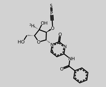 [2H][C@@]1(O)[C@@H](CO)O[C@@H](n2ccc(NC(=O)c3ccccc3)nc2=O)[C@@H]1OC#P=S